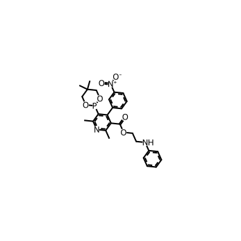 Cc1nc(C)c(P2OCC(C)(C)CO2)c(-c2cccc([N+](=O)[O-])c2)c1C(=O)OCCNc1ccccc1